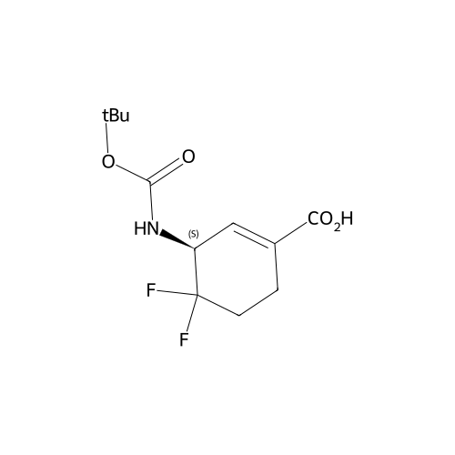 CC(C)(C)OC(=O)N[C@H]1C=C(C(=O)O)CCC1(F)F